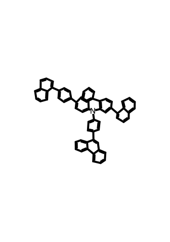 c1ccc(-c2ccc(-c3cccc4ccccc34)cc2N(c2ccc(-c3ccc(-c4cccc5ccccc45)cc3)cc2)c2ccc(-c3cc4ccccc4c4ccccc34)cc2)cc1